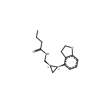 CCCC(=O)NC[C@@H]1C[C@@H]1c1cccc2c1CCO2